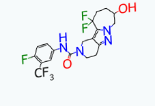 O=C(Nc1ccc(F)c(C(F)(F)F)c1)N1CCc2nn3c(c2C1)C(F)(F)CCC(O)C3